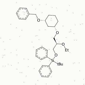 CCO[C@H](CO[C@H]1CCC[C@@H](OCc2ccccc2)C1)CO[Si](c1ccccc1)(c1ccccc1)C(C)(C)C